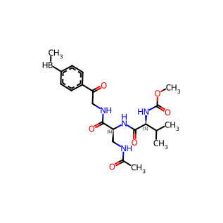 CBc1ccc(C(=O)CNC(=O)[C@H](CNC(C)=O)NC(=O)[C@@H](NC(=O)OC)C(C)C)cc1